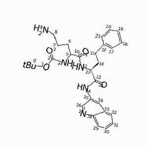 CC(C)(C)OC(=O)NC(CCCN)C(=O)N[C@@H](CCc1ccccc1)C(=O)Nc1cnc2ccccc2c1